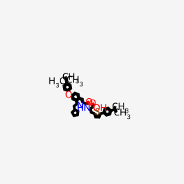 CC(C)c1ccc(-c2ccc(CC(NC(=O)c3cc4ccc(Oc5ccc(C(C)(C)C)cc5)cc4c(CC4CCCC4)n3)C(=O)O)s2)cc1